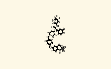 Cc1ccc(NC(=O)N(c2cccc(F)c2)C2CCN(Cc3ccc(Oc4ccc5c(c4)C=NS(=O)(=O)N5)nc3)CC2)cn1